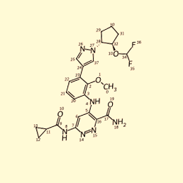 COc1c(Nc2cc(NC(=O)C3CC3)nnc2C(N)=O)cccc1-c1cnn([C@@H]2CCC[C@H]2OC(F)F)c1